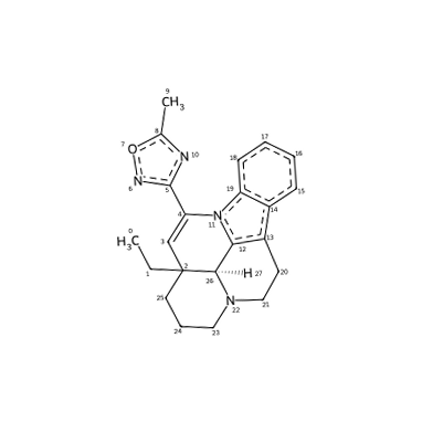 CCC12C=C(c3noc(C)n3)n3c4c(c5ccccc53)CCN(CCC1)[C@H]42